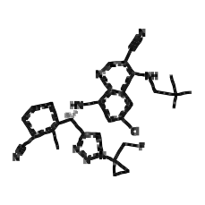 Cc1c(C#N)cccc1[C@H](Nc1cc(Cl)cc2c(NCC(C)(C)C)c(C#N)cnc12)c1cn(C2(CF)CC2)nn1